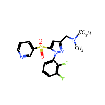 CN(Cc1cc(S(=O)(=O)c2cccnc2)n(-c2cccc(F)c2F)n1)C(=O)O